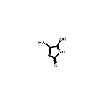 CC1=CC(=O)NC1O